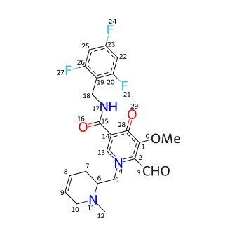 COc1c(C=O)n(CC2CC=CCN2C)cc(C(=O)NCc2c(F)cc(F)cc2F)c1=O